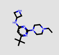 CCN1CCN(c2nc(NC3CNC3)cc(C(C)(C)C)n2)CC1